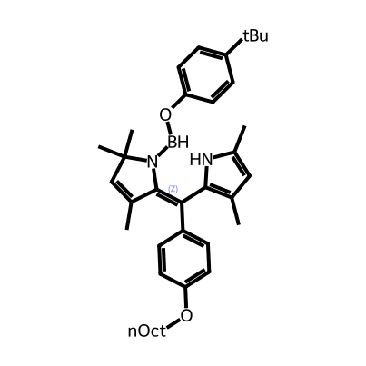 CCCCCCCCOc1ccc(/C(=C2\C(C)=CC(C)(C)N2BOc2ccc(C(C)(C)C)cc2)c2[nH]c(C)cc2C)cc1